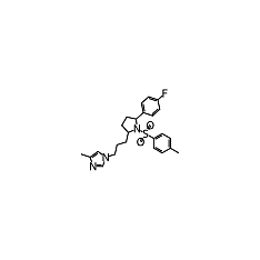 Cc1ccc(S(=O)(=O)N2C(CCCn3cnc(C)c3)CCC2c2ccc(F)cc2)cc1